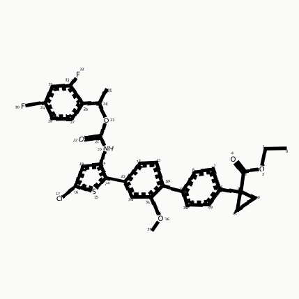 CCOC(=O)C1(c2ccc(-c3ccc(-c4sc(Cl)cc4NC(=O)OC(C)c4ccc(F)cc4F)cc3OC)cc2)CC1